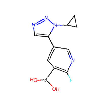 OB(O)c1cc(-c2cnnn2C2CC2)cnc1F